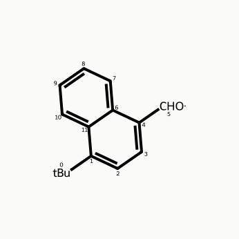 CC(C)(C)c1ccc([C]=O)c2ccccc12